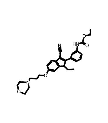 CCOC(=O)Nc1cccc(C2=C(C#N)c3ccc(OCCCN4CCOCC4)cc3C2CC)c1